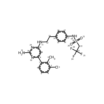 Cc1c(Cl)cccc1-c1cc(NCCc2ccc(NS(=O)(=O)CC(F)(F)F)cc2)nc(N)n1